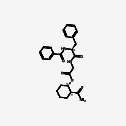 NC(=O)[C@H]1CCCC[C@@H]1OC(=O)CNC(=O)[C@H](Cc1ccccc1)NC(=O)c1ccccc1